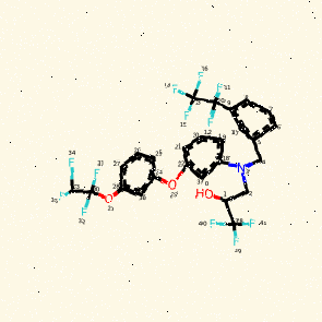 OC(CN(Cc1cccc(C(F)(F)C(F)(F)F)c1)c1cccc(Oc2cccc(OC(F)(F)C(F)F)c2)c1)C(F)(F)F